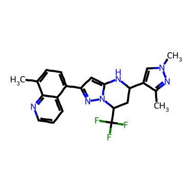 Cc1nn(C)cc1C1CC(C(F)(F)F)n2nc(-c3ccc(C)c4ncccc34)cc2N1